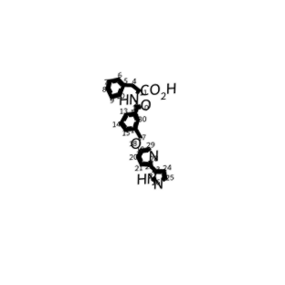 O=C(N[C@@H](Cc1ccccc1)C(=O)O)c1cccc(COc2ccc(-c3ccn[nH]3)nc2)c1